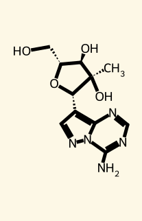 C[C@@]1(O)[C@H](O)[C@@H](CO)O[C@H]1c1cnn2c(N)ncnc12